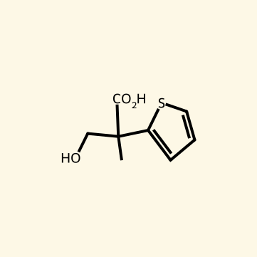 CC(CO)(C(=O)O)c1cccs1